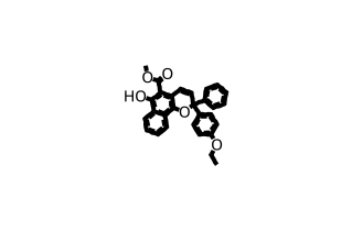 CCOc1ccc(C2(c3ccccc3)C=Cc3c(C(=O)OC)c(O)c4ccccc4c3O2)cc1